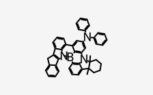 CC12CCCCC1(C)N1c3cc(N(c4ccccc4)c4ccccc4)cc4c3B(c3cccc2c31)n1c2c(c3cccc-4c31)Cc1ccccc1-2